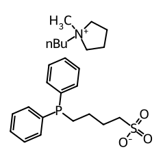 CCCC[N+]1(C)CCCC1.O=S(=O)([O-])CCCCP(c1ccccc1)c1ccccc1